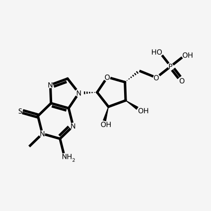 Cn1c(N)nc2c(ncn2[C@@H]2O[C@H](COP(=O)(O)O)[C@@H](O)[C@H]2O)c1=S